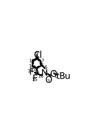 CC(C)(C)OC(=O)N1Cc2cc(Cl)ccc2C(F)(F)C1